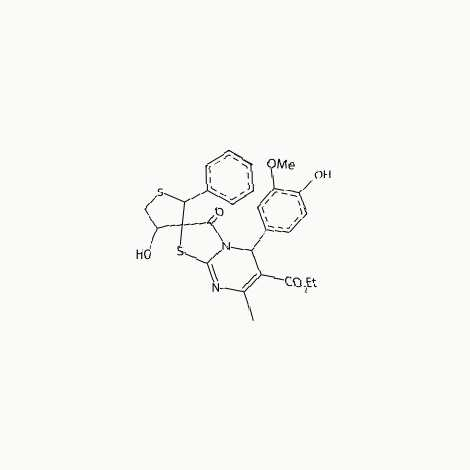 CCOC(=O)C1=C(C)N=C2SC3(C(=O)N2C1c1ccc(O)c(OC)c1)C(O)CSC3c1ccccc1